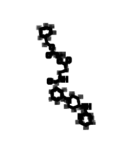 O=C(CCNC(=O)c1cccc(N2CCC(Nc3ncccn3)CC2)c1)ONC(=O)OCc1ccccc1